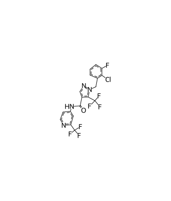 O=C(Nc1ccnc(C(F)(F)F)c1)c1cnn(Cc2cccc(F)c2Cl)c1C(F)(F)F